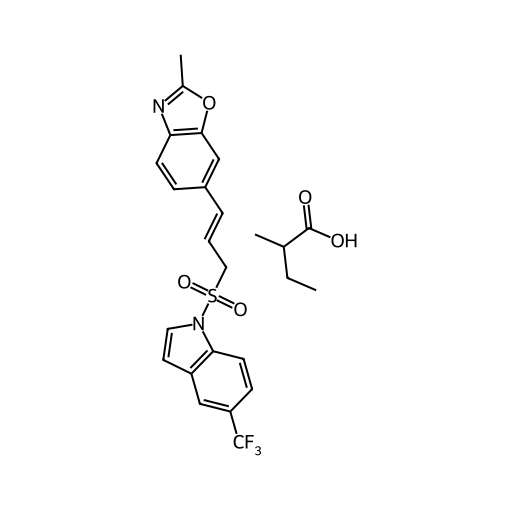 CCC(C)C(=O)O.Cc1nc2ccc(C=CCS(=O)(=O)n3ccc4cc(C(F)(F)F)ccc43)cc2o1